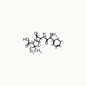 CC1(C)SC2C(NC(=O)C(N)C3=CC=CCC3)C(=O)N2C1C(=O)O